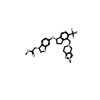 COC(=O)C[C@@H]1COc2cc(O[C@@H]3CCc4c3ccc(C(F)(F)F)c4CN3CCc4nn(C)cc4C3)ccc21